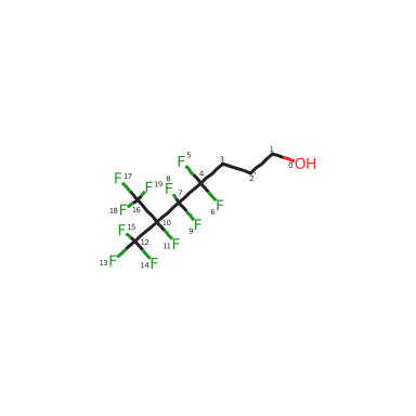 OC[CH]CC(F)(F)C(F)(F)C(F)(C(F)(F)F)C(F)(F)F